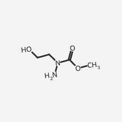 COC(=O)N(N)CCO